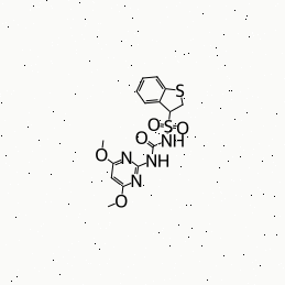 COc1cc(OC)nc(NC(=O)NS(=O)(=O)C2CSc3ccccc32)n1